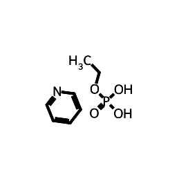 CCOP(=O)(O)O.c1ccncc1